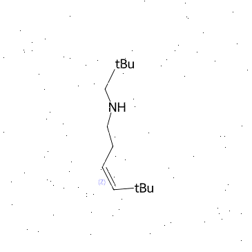 CC(C)(C)/C=C\CCNCC(C)(C)C